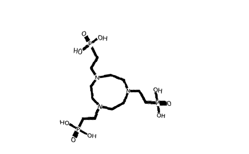 O=P(O)(O)CCN1CCN(CCP(=O)(O)O)CCN(CCP(=O)(O)O)CC1